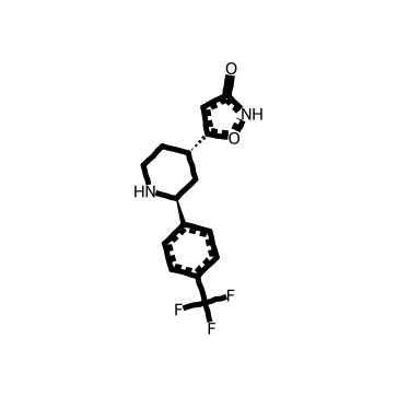 O=c1cc([C@H]2CCN[C@H](c3ccc(C(F)(F)F)cc3)C2)o[nH]1